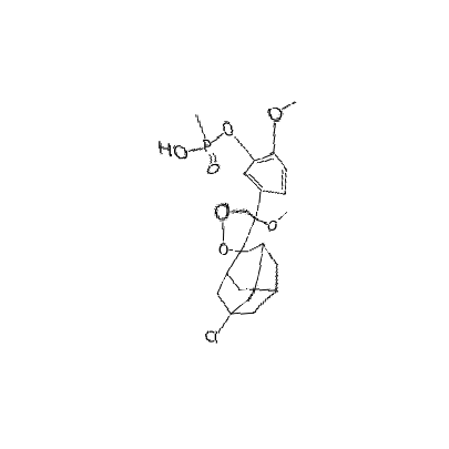 COc1ccc(C2(OC)OOC23C2CC4CC3CC(Cl)(C4)C2)cc1OP(C)(=O)O